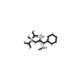 CN[C@@H](C1CCCCC1)[C@H](O)C[Si](C)(C(C)C)C(C)C